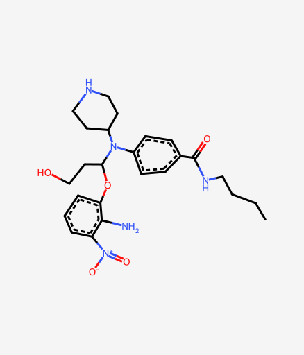 CCCCNC(=O)c1ccc(N(C2CCNCC2)C(CCO)Oc2cccc([N+](=O)[O-])c2N)cc1